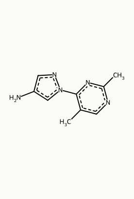 Cc1ncc(C)c(-n2cc(N)cn2)n1